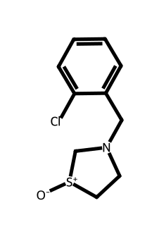 [O-][S+]1CCN(Cc2ccccc2Cl)C1